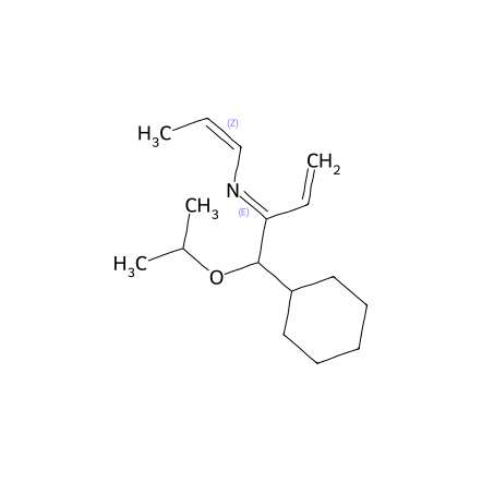 C=C/C(=N\C=C/C)C(OC(C)C)C1CCCCC1